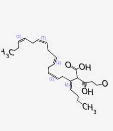 CC/C=C\C/C=C\C/C=C\C/C=C\C/C(=C/CCC)C(C(=O)O)[C@H](O)CCO